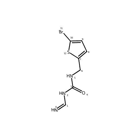 N=CNC(=O)NCc1ccc(Br)s1